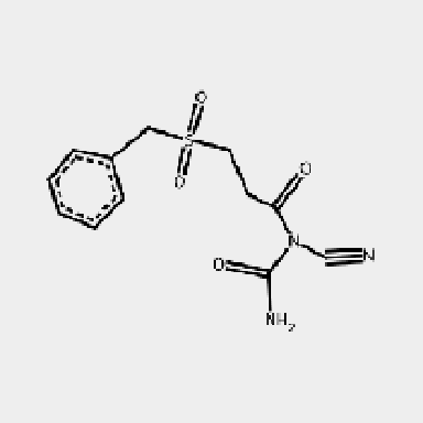 N#CN(C(N)=O)C(=O)[CH]CS(=O)(=O)Cc1ccccc1